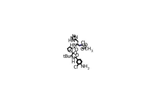 CC(C)(C)[C@H](NC(=O)c1ccc(N)c(Cl)c1)C(=O)N1CCC[C@@H]1C(=O)N[C@H](/C=C(\Cl)S(C)(=O)=O)Cc1nnn[nH]1